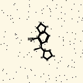 C[C@@H](c1ccc2c(c1N)CCC2)C1CCCC1